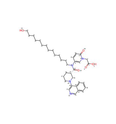 O=C(O)Cn1cc(N(CCCCCCCCCCCCCCO)C(=O)[C@H]2CCCN(c3cncc4ccccc34)C2)ccc1=O